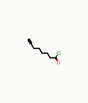 C#CCCCCCC(=O)Cl